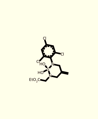 C=C1CN(CC(=O)OCC)S(O)(O)N(c2c(Cl)cc(Cl)cc2Cl)C1